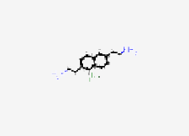 Cl.Cl.NCCc1ccc2cc(CCN)ccc2c1